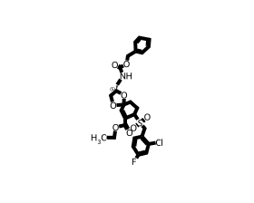 CCOC(=O)C1=CC2(CCC1S(=O)(=O)Cc1ccc(F)cc1Cl)OC[C@H](CNC(=O)OCc1ccccc1)O2